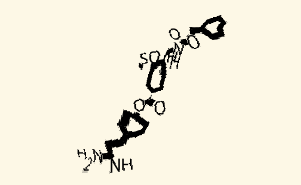 CS(=O)(=O)O.N=C(N)C=Cc1ccc(OC(=O)[C@H]2CC[C@H](CNC(=O)OCc3ccccc3)CC2)cc1